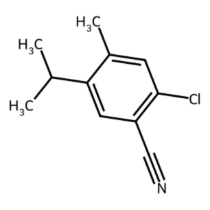 Cc1cc(Cl)c(C#N)cc1C(C)C